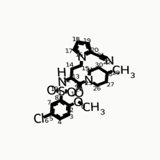 COc1ccc(Cl)cc1S(=O)(=O)NC(CCn1cccc1C#N)C(=O)N1CCC(C)CC1